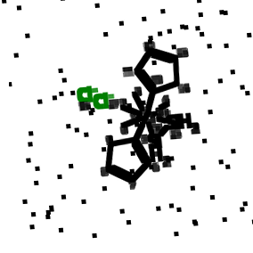 [CH3][Zr+2]1([CH3])([CH3])([CH3])([C]2=CC=CC2)([C]2=CC=CC2)[SiH2][SiH2]1.[Cl-].[Cl-]